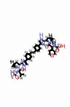 COC(=O)N[C@H](C(=O)N1C2C[C@@H]2C[C@H]1c1nc(-c2ccc(/C=C/c3ccc(-c4c[nH]c([C@@H]5C[C@H]6C[C@H]6N5C(=O)[C@@H](NC(=O)O)C5CCOCC5)n4)cc3)cc2)c[nH]1)C(C)C